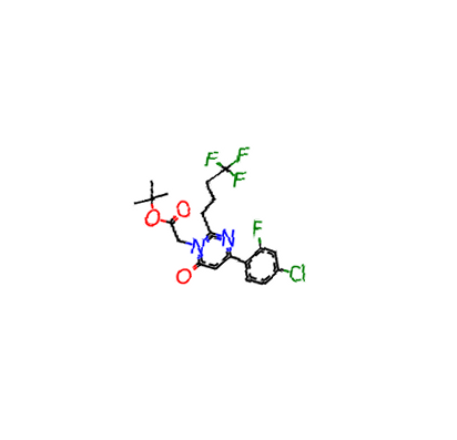 CC(C)(C)OC(=O)Cn1c(CCCC(F)(F)F)nc(-c2ccc(Cl)cc2F)cc1=O